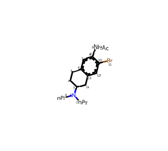 CCCN(CCC)C1CCc2cc(NC(C)=O)c(Br)cc2C1